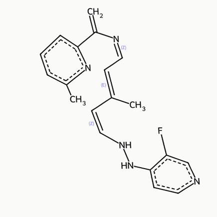 C=C(\N=C/C=C(C)/C=C\NNc1ccncc1F)c1cccc(C)n1